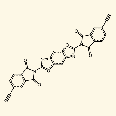 C#Cc1ccc2c(c1)C(=O)N(c1nc3cc4oc(N5C(=O)c6ccc(C#C)cc6C5=O)nc4cc3o1)C2=O